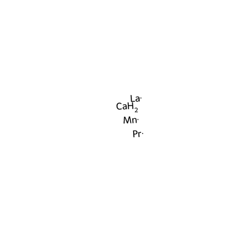 [CaH2].[La].[Mn].[Pr]